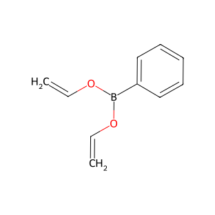 C=COB(OC=C)c1ccccc1